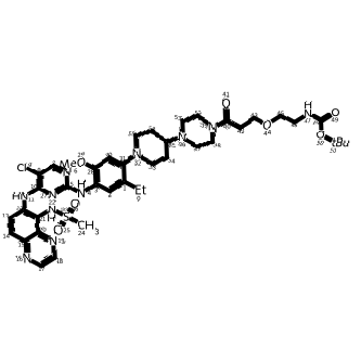 CCc1cc(Nc2ncc(Cl)c(Nc3ccc4nccnc4c3NS(C)(=O)=O)n2)c(OC)cc1N1CCC(N2CCN(C(=O)CCOCCNC(=O)OC(C)(C)C)CC2)CC1